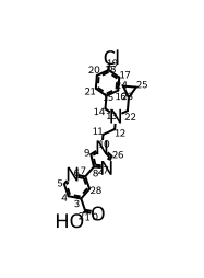 O=C(O)c1ccnc(-c2cn(CCN(Cc3ccc(Cl)cc3)CC3CC3)cn2)c1